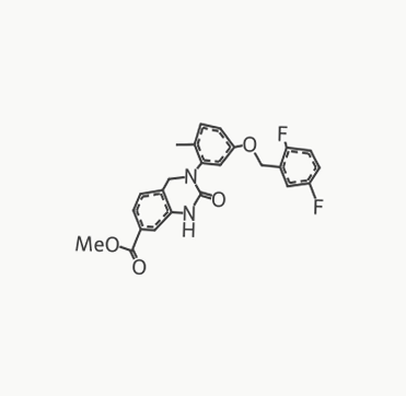 COC(=O)c1ccc2c(c1)NC(=O)N(c1cc(OCc3cc(F)ccc3F)ccc1C)C2